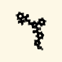 Cn1cc(-c2cccc(C(=O)Nc3nc(CCCC(=O)N4CCCCC4C(F)(F)F)cn3-c3ccccc3)c2)cn1